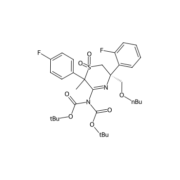 CCCCOC[C@@]1(c2ccccc2F)CS(=O)(=O)C(C)(c2ccc(F)cc2)C(N(C(=O)OC(C)(C)C)C(=O)OC(C)(C)C)=N1